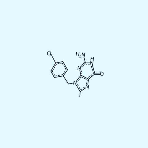 Cc1nc2c(=O)[nH]c(N)nc2n1Cc1ccc(Cl)cc1